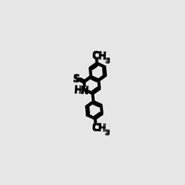 Cc1ccc(-c2cc3ccc(C)cc3c(=S)[nH]2)cc1